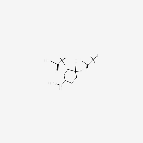 NNC1CCC(F)(F)CC1.O=C(O)C(F)(F)F.O=C(O)C(F)(F)F